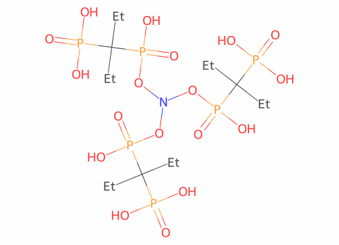 CCC(CC)(P(=O)(O)O)P(=O)(O)ON(OP(=O)(O)C(CC)(CC)P(=O)(O)O)OP(=O)(O)C(CC)(CC)P(=O)(O)O